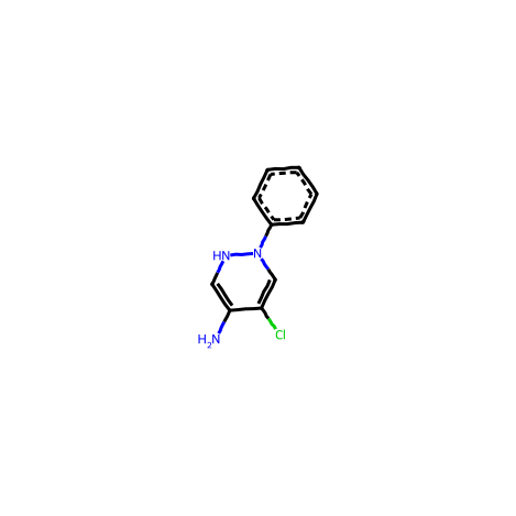 NC1=CNN(c2ccccc2)C=C1Cl